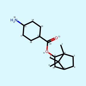 CC1(C)C2CCC1(C)C(OC(=O)C1CCC(N)CC1)C2